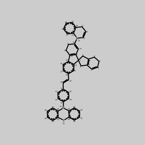 C1=CC2=C(CC1)CC1(C2)C2=C(CCC(N3C=CCc4ccccc43)=C2)c2ccc(/C=C/c3ccc(N4c5ccccc5Sc5ccccc54)cc3)cc21